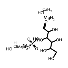 Cl.Cl.Cl.O=CC(O)C(O)C(O)C(O)CO.O=S(=O)(O)O.[CaH2].[MgH2].[MgH2].[NaH]